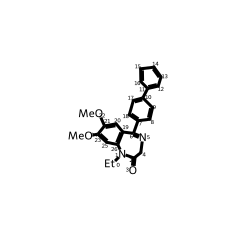 CCN1C(=O)CN=C(c2ccc(-c3ccccc3)cc2)c2cc(OC)c(OC)cc21